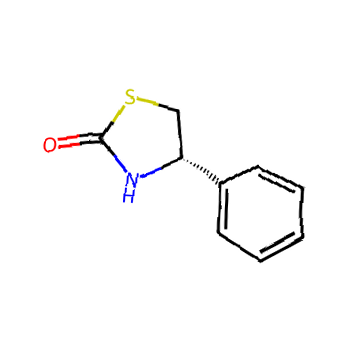 O=C1N[C@@H](c2ccccc2)CS1